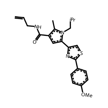 C=CCNC(=O)c1cc(-c2csc(-c3ccc(OC)cc3)n2)n(CC(C)C)c1C